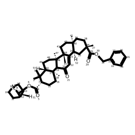 CC1(C)[C@@H](C(=O)O[C@H]2CN3CCC2CC3)CC[C@]2(C)C3C(=O)C=C4[C@@H]5C[C@@](C)(C(=O)OCc6ccccc6)CC[C@]5(C)CC[C@@]4(C)[C@]3(C)CC[C@@H]12